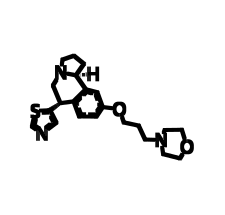 c1ncc([C@H]2CN3CCC[C@H]3c3cc(OCCCN4CCOCC4)ccc32)s1